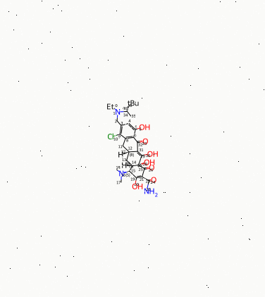 CCN(Cc1cc(O)c2c(c1Cl)C[C@H]1C[C@H]3[C@H](N(C)C)C(O)=C(C(N)=O)C(=O)[C@@]3(O)C(O)=C1C2=O)[C@H](C)C(C)(C)C